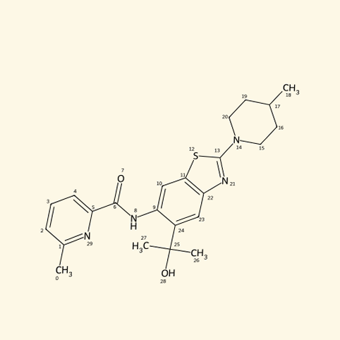 Cc1cccc(C(=O)Nc2cc3sc(N4CCC(C)CC4)nc3cc2C(C)(C)O)n1